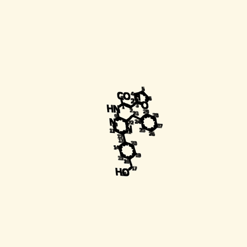 O=C(O)C(=Cc1ccco1)Nc1ncc(-c2ccc(CO)cc2)nc1Cc1ccccc1